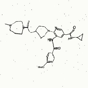 COc1ccc(C(=O)Nc2cc(C(=O)NC3CC3)cnc2N2CCC(CC(=O)N3CCCN(C)CC3)CC2)cc1